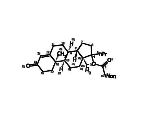 CCCCCCCCCC(=O)OC1(CCC)CC[C@H]2[C@@H]3CCC4=CC(=O)CC[C@]4(C)[C@@H]3CC[C@@]21C